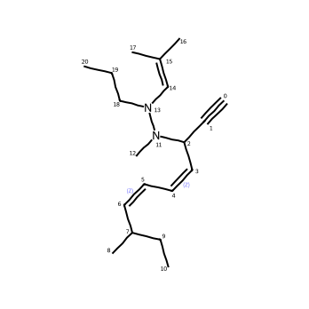 C#CC(/C=C\C=C/C(C)CC)N(C)N(C=C(C)C)CCC